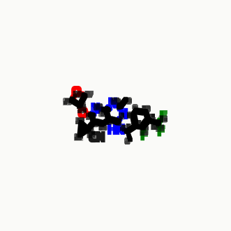 Cc1nc(N[C@H](C)c2cccc(C(F)F)c2F)c2cc(C3(C#N)CC3)c(OC3COC3)nc2n1